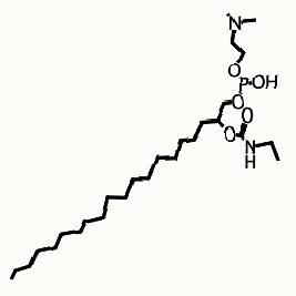 CCCCCCCCCCCCCCCCCCC(COP(O)OCCN(C)C)OC(=O)NCC